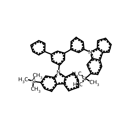 C[Si](C)(C)c1ccc2c3ccccc3n(-c3cccc(-c4cc(-c5ccccc5)cc(-n5c6ccccc6c6ccc([Si](C)(C)C)cc65)c4)c3)c2c1